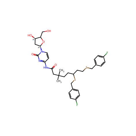 CC(C)(CCC(CCSCc1ccc(F)cc1)SCc1ccc(F)cc1)CC(=O)Nc1ccn([C@H]2C[C@@H](O)C(CO)O2)c(=O)n1